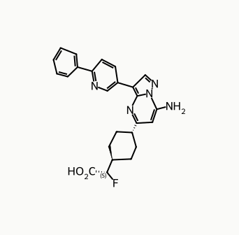 Nc1cc([C@H]2CC[C@H]([C@H](F)C(=O)O)CC2)nc2c(-c3ccc(-c4ccccc4)nc3)cnn12